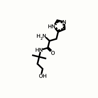 CC(C)(CCO)NC(=O)C(N)Cc1cnc[nH]1